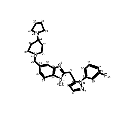 CCn1c(Cc2ccnn2-c2cccc(F)c2)nc2cc(CN3CCC(N4CCCC4)CC3)ccc21